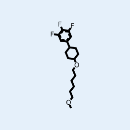 COCCCCCCOC1CCC(c2cc(F)c(F)c(F)c2)CC1